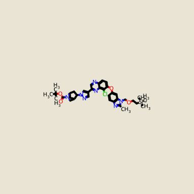 Cc1nc2ccc(Oc3ccc4ncc(-c5cnn(C6CC7CC6CN7C(=O)OC(C)(C)C)c5)nc4c3Cl)cc2n1COCC[Si](C)(C)C